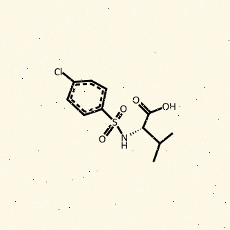 CC(C)[C@H](NS(=O)(=O)c1ccc(Cl)cc1)C(=O)O